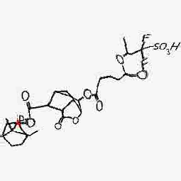 CC(C)C1(OC(=O)C2C3CC4C(OC(=O)C42)C3OC(=O)CCC(=O)OC(C)C(F)(F)S(=O)(=O)O)CC2CCC1(C)C2(C)C